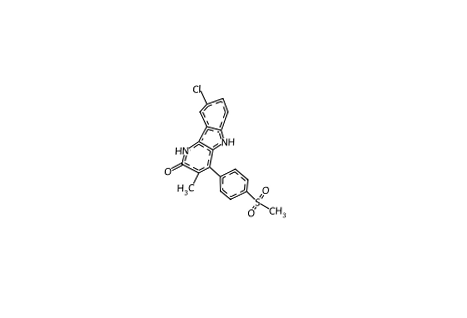 Cc1c(-c2ccc(S(C)(=O)=O)cc2)c2[nH]c3ccc(Cl)cc3c2[nH]c1=O